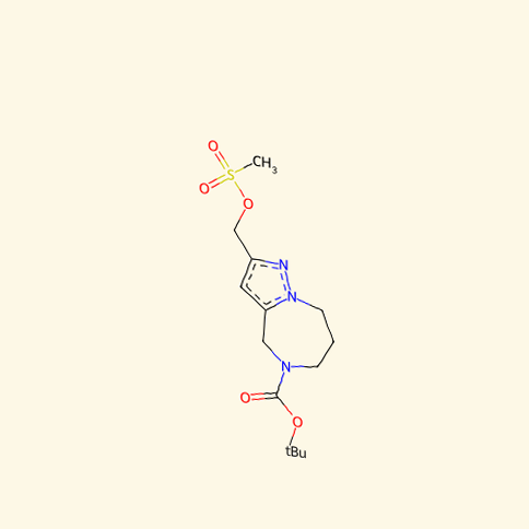 CC(C)(C)OC(=O)N1CCCn2nc(COS(C)(=O)=O)cc2C1